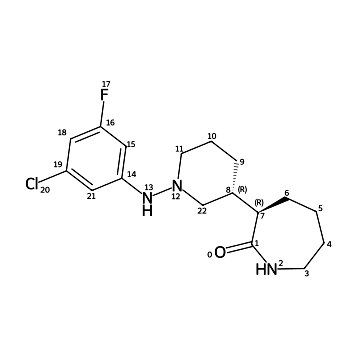 O=C1NCCCC[C@@H]1[C@H]1CCCN(Nc2cc(F)cc(Cl)c2)C1